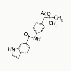 CC(=O)OC(C)(C)Cc1ccc(NC(=O)c2ccc3cc[nH]c3c2)cc1